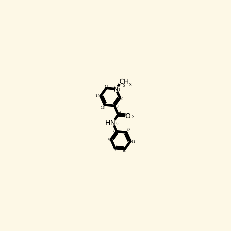 CN1C=C(C(=O)Nc2ccccc2)C=CC1